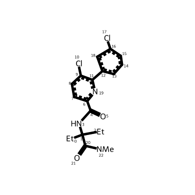 CCC(CC)(NC(=O)c1ccc(Cl)c(-c2cccc(Cl)c2)n1)C(=O)NC